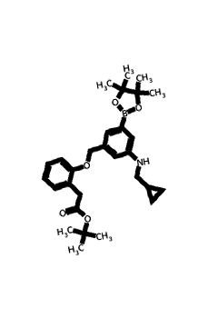 CC(C)(C)OC(=O)Cc1ccccc1OCc1cc(NCC2CC2)cc(B2OC(C)(C)C(C)(C)O2)c1